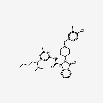 CCCCC(c1cc(C)nc(NC(=O)[C@@H]2c3ccccc3C(=O)N2C2CCN(Cc3ccc(Cl)c(C)c3)CC2)c1)N(C)C